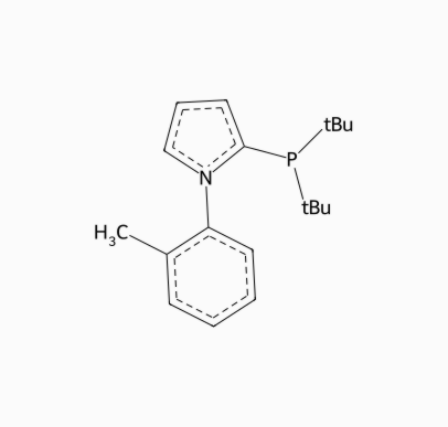 Cc1ccccc1-n1cccc1P(C(C)(C)C)C(C)(C)C